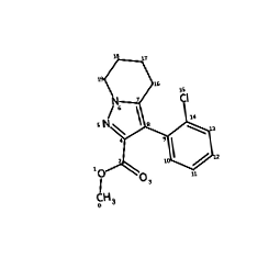 COC(=O)c1nn2c(c1-c1ccccc1Cl)CCCC2